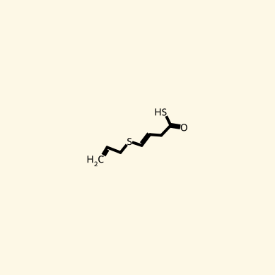 C=CCSC=CCC(=O)S